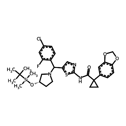 CC(C)(C)[Si](C)(C)O[C@H]1CCN(C(c2cnc(NC(=O)C3(c4ccc5c(c4)OCO5)CC3)s2)c2ccc(Cl)cc2F)C1